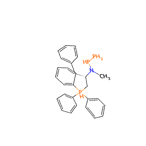 CN(PP)[C@@H](Cc1ccccc1)C[PH](c1ccccc1)(c1ccccc1)c1ccccc1